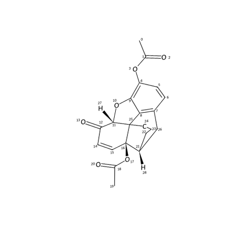 CC(=O)Oc1ccc2c3c1O[C@H]1C(=O)C=C[C@@]4(OC(C)=O)[C@H](CCCC314)C2